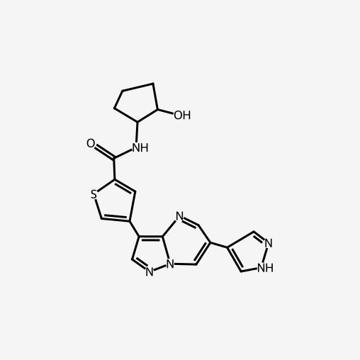 O=C(NC1CCCC1O)c1cc(-c2cnn3cc(-c4cn[nH]c4)cnc23)cs1